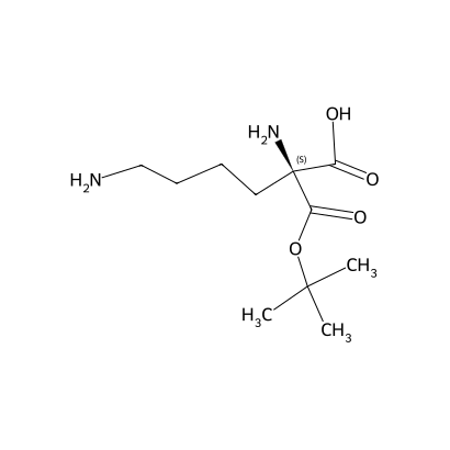 CC(C)(C)OC(=O)[C@](N)(CCCCN)C(=O)O